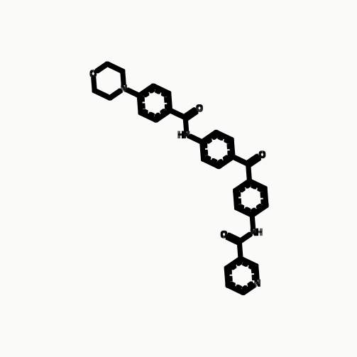 O=C(Nc1ccc(C(=O)c2ccc(NC(=O)c3cccnc3)cc2)cc1)c1ccc(N2CCOCC2)cc1